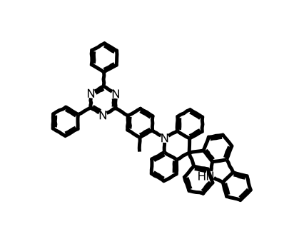 Cc1cc(-c2nc(-c3ccccc3)nc(-c3ccccc3)n2)ccc1N1c2ccccc2C(c2ccccc2)(c2cccc3c2[nH]c2ccccc23)c2ccccc21